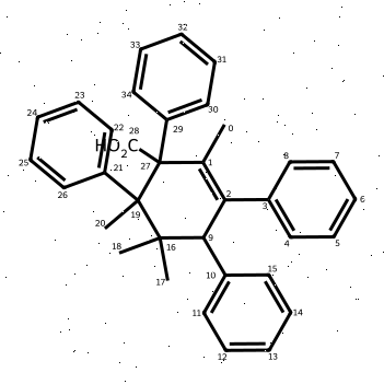 CC1=C(c2ccccc2)C(c2ccccc2)C(C)(C)C(C)(c2ccccc2)C1(C(=O)O)c1ccccc1